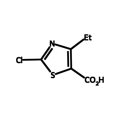 CCc1nc(Cl)sc1C(=O)O